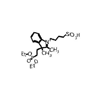 CCOP(=O)(CCC1(C)C(C)=[N+](CCCCS(=O)(=O)O)c2ccccc21)OCC